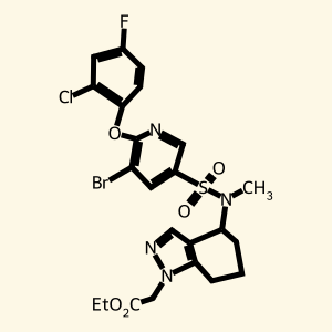 CCOC(=O)Cn1ncc2c1CCCC2N(C)S(=O)(=O)c1cnc(Oc2ccc(F)cc2Cl)c(Br)c1